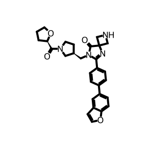 O=C([C@H]1CCCO1)N1CC[C@@H](CN2C(=O)C3(CNC3)N=C2c2ccc(-c3ccc4occc4c3)cc2)C1